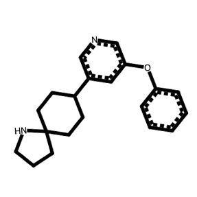 c1ccc(Oc2cncc(C3CCC4(CCCN4)CC3)c2)cc1